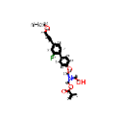 C=C(C)C(=O)OCN(CO)COc1ccc(-c2ccc(C#CCOCCCCCC)cc2F)cc1